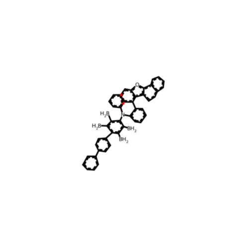 Bc1c(B)c(N(c2ccccc2)c2ccccc2-c2cccc3oc4c5ccccc5ccc4c23)c(B)c(B)c1-c1ccc(-c2ccccc2)cc1